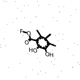 Cc1c(C)c(O)c(O)c(C(=O)OF)c1C